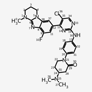 CN1CCCn2c1nc1c(F)cc(-c3nc(Nc4ccc(N5CC[C@H](N(C)C)CC5=O)cc4)ncc3Cl)cc12